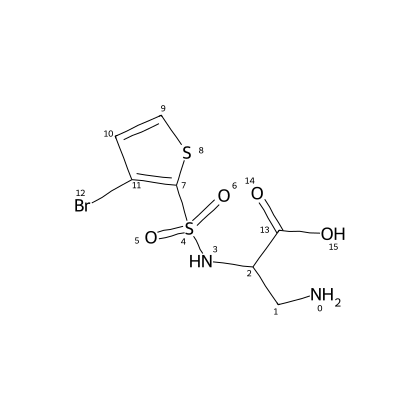 NCC(NS(=O)(=O)c1sccc1Br)C(=O)O